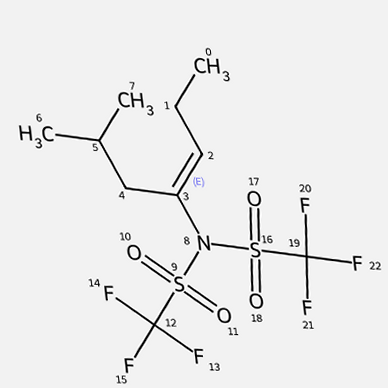 CC/C=C(\CC(C)C)N(S(=O)(=O)C(F)(F)F)S(=O)(=O)C(F)(F)F